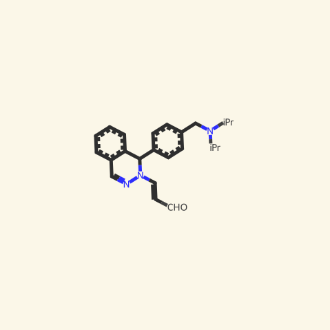 CC(C)N(Cc1ccc(C2c3ccccc3C=NN2C=CC=O)cc1)C(C)C